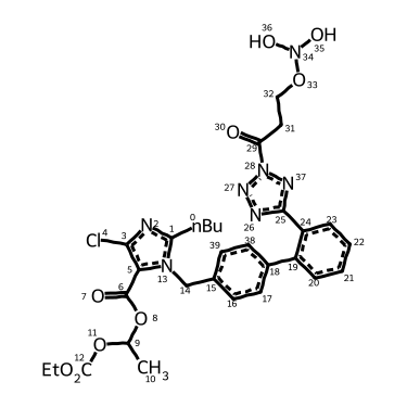 CCCCc1nc(Cl)c(C(=O)OC(C)OC(=O)OCC)n1Cc1ccc(-c2ccccc2-c2nnn(C(=O)CCON(O)O)n2)cc1